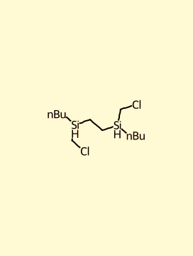 CCCC[SiH](CCl)CC[SiH](CCl)CCCC